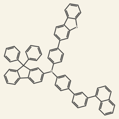 c1ccc(C2(c3ccccc3)c3ccccc3-c3ccc(N(c4ccc(-c5cccc(-c6cccc7ccccc67)c5)cc4)c4ccc(-c5ccc6c(c5)sc5ccccc56)cc4)cc32)cc1